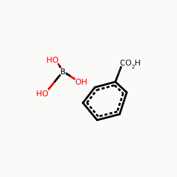 O=C(O)c1ccccc1.OB(O)O